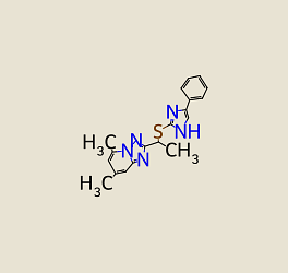 Cc1cc(C)n2nc(C(C)Sc3nc(-c4ccccc4)c[nH]3)nc2c1